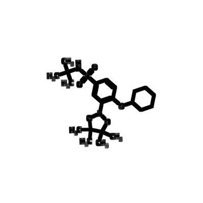 CC(C)(C)NS(=O)(=O)c1ccc(OC2CCCCC2)c(B2OC(C)(C)C(C)(C)O2)c1